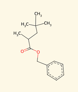 CC(CC(C)(C)C)C(=O)OCc1ccccc1